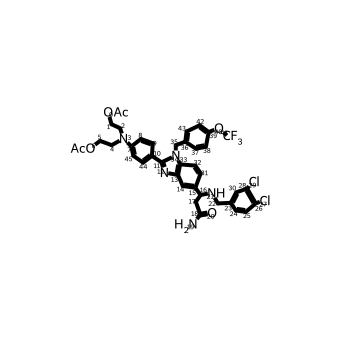 CC(=O)OCCN(CCOC(C)=O)c1ccc(-c2nc3cc(C(CC(N)=O)NCc4ccc(Cl)c(Cl)c4)ccc3n2Cc2ccc(OC(F)(F)F)cc2)cc1